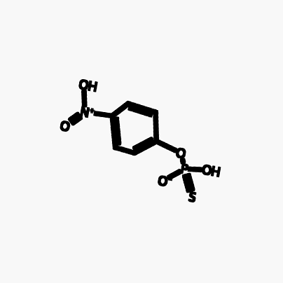 O=[N+](O)c1ccc(OP([O-])(O)=S)cc1